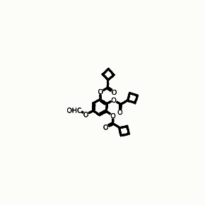 O=COc1cc(OC(=O)C2CCC2)c(OC(=O)C2CCC2)c(OC(=O)C2CCC2)c1